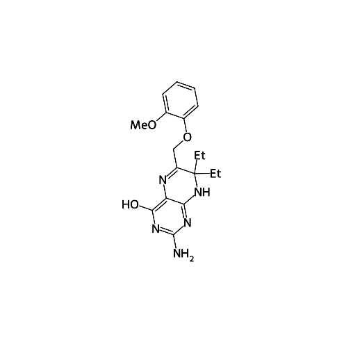 CCC1(CC)Nc2nc(N)nc(O)c2N=C1COc1ccccc1OC